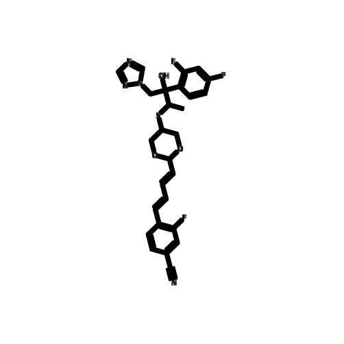 CC(SC1COC(C=CC=Cc2ccc(C#N)cc2F)OC1)C(O)(Cn1cncn1)c1ccc(F)cc1F